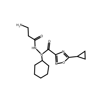 NCCC(=O)NN(C(=O)c1noc(C2CC2)n1)C1CCCCC1